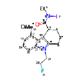 CCN(I)C(=O)C1CCCc2c1c1c(OC)cccc1n2CCF